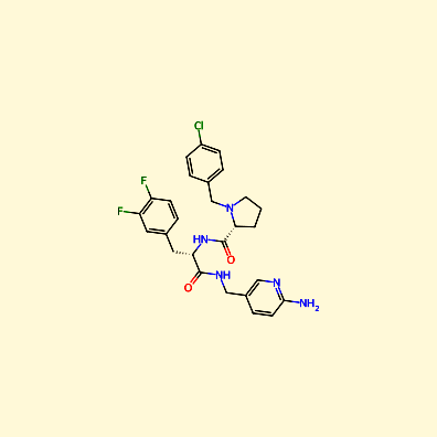 Nc1ccc(CNC(=O)[C@H](Cc2ccc(F)c(F)c2)NC(=O)[C@H]2CCCN2Cc2ccc(Cl)cc2)cn1